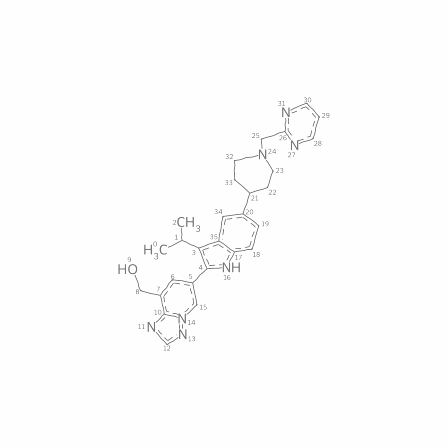 CC(C)c1c(-c2cc(CO)c3ncnn3c2)[nH]c2ccc(C3CCN(Cc4ncccn4)CC3)cc12